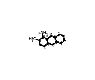 Cc1ccc2cc3ccccc3cc2c1N